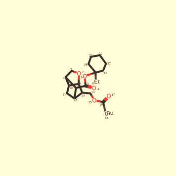 CCC1(OC(=O)C2C3COC4C3CC2C4COC(=O)C(C)(C)C)CCCCC1